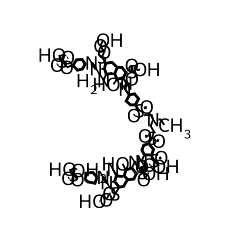 CCN(CCS(=O)(=O)c1ccc(N=Nc2c(S(=O)(=O)O)cc3cc(SOOO)c(N=Nc4ccc(OS(=O)(=O)O)cc4)c(N)c3c2O)cc1)CCS(=O)(=O)c1ccc(N=Nc2c(S(=O)(=O)O)cc3cc(SOOO)c(N=Nc4ccc(OS(=O)(=O)O)cc4)c(N)c3c2O)c(S(=O)(=O)O)c1